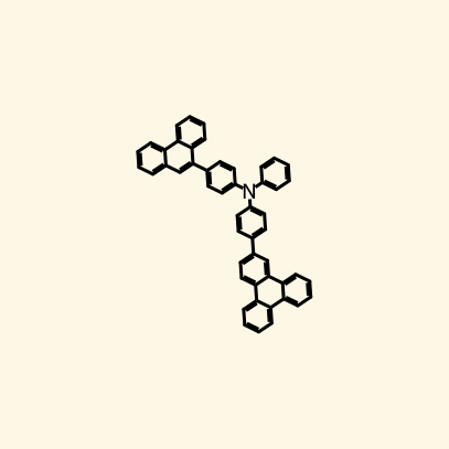 c1ccc(N(c2ccc(-c3ccc4c5ccccc5c5ccccc5c4c3)cc2)c2ccc(-c3cc4ccccc4c4ccccc34)cc2)cc1